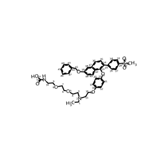 CCN(CCOCCOCCNC(=O)O)CCOc1ccc(Oc2c(-c3ccc(S(C)(=O)=O)cc3)ccc3cc(OCc4ccccc4)ccc23)cc1